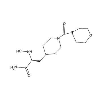 NC(=O)[C@H](CC1CCN(C(=O)N2CCOCC2)CC1)NO